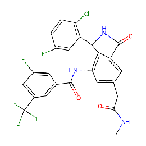 CNC(=O)Cc1cc(NC(=O)c2cc(F)cc(C(F)(F)F)c2)c2c(c1)C(=O)NC2c1cc(F)ccc1Cl